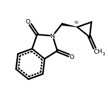 C=C1C[C@@H]1CN1C(=O)c2ccccc2C1=O